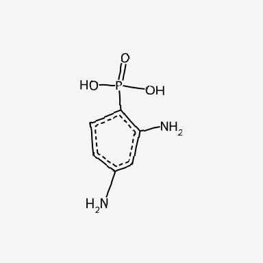 Nc1ccc(P(=O)(O)O)c(N)c1